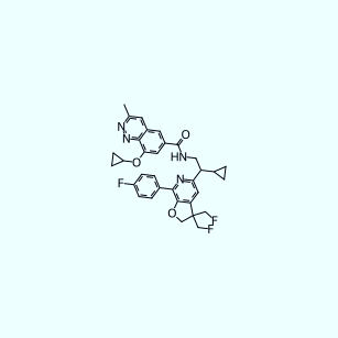 Cc1cc2cc(C(=O)NCC(c3cc4c(c(-c5ccc(F)cc5)n3)OCC4(CF)CF)C3CC3)cc(OC3CC3)c2nn1